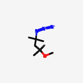 COC(C)(C)CC(C)(C)N=[N+]=[N-]